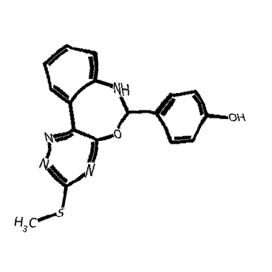 CSc1nnc2c(n1)OC(c1ccc(O)cc1)Nc1ccccc1-2